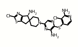 Nc1nc(N2CCC3(CC2)Cc2sc(Cl)nc2[C@H]3N)cnc1Sc1ccnc(N)c1Cl